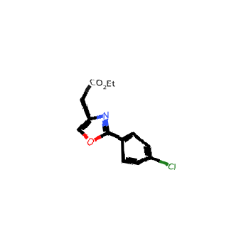 CCOC(=O)Cc1coc(-c2ccc(Cl)cc2)n1